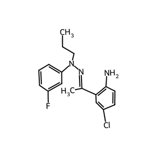 CCCN(/N=C(\C)c1cc(Cl)ccc1N)c1cccc(F)c1